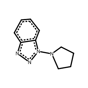 c1ccc2c(c1)nnn2N1CCCC1